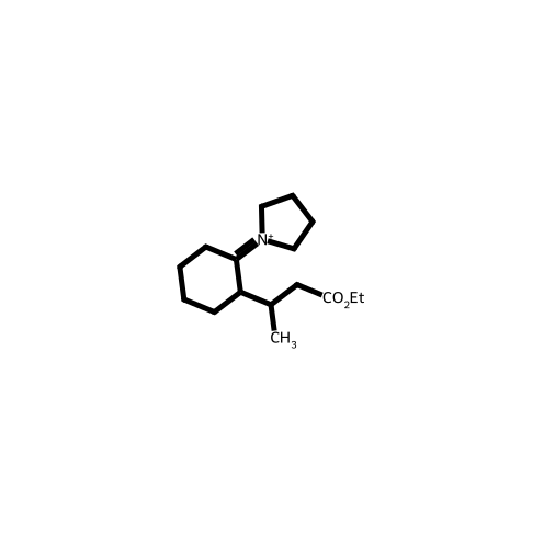 CCOC(=O)CC(C)C1CCCCC1=[N+]1CCCC1